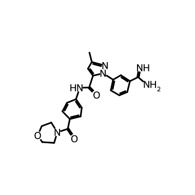 Cc1cc(C(=O)Nc2ccc(C(=O)N3CCOCC3)cc2)n(-c2cccc(C(=N)N)c2)n1